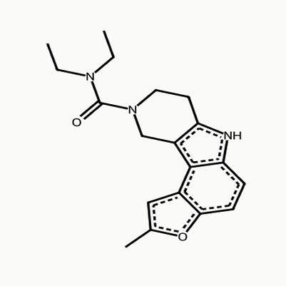 CCN(CC)C(=O)N1CCc2[nH]c3ccc4oc(C)cc4c3c2C1